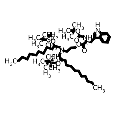 CCCCCCCCCCC(CN(CCCOC(=O)[C@H](Cc1c[nH]c2ccccc12)NC(=O)OC(C)(C)C)CC(CCCCCCCCCC)O[Si](C)(C)C(C)(C)C)O[Si](C)(C)C(C)(C)C